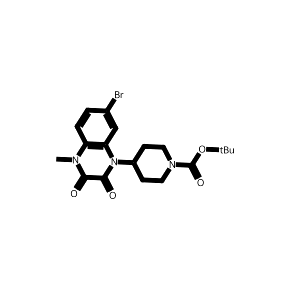 Cn1c(=O)c(=O)n(C2CCN(C(=O)OC(C)(C)C)CC2)c2cc(Br)ccc21